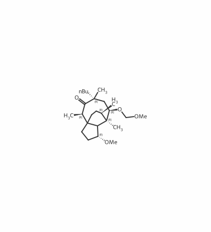 CCCC[C@]1(C)C[C@@H](OCOC)[C@@]2(C)C3[C@H](OC)CCC3(CC[C@H]2C)[C@@H](C)C1=O